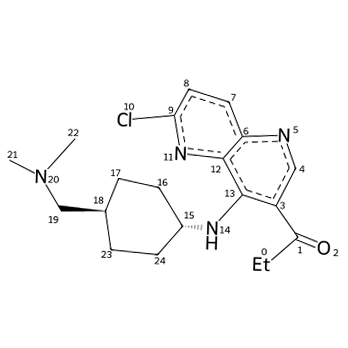 CCC(=O)c1cnc2ccc(Cl)nc2c1N[C@H]1CC[C@H](CN(C)C)CC1